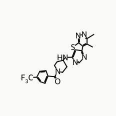 Cc1nnc2sc3c(NC4CCN(C(=O)c5ccc(C(F)(F)F)cc5)CC4)ncnc3c2c1C